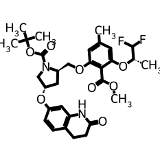 COC(=O)c1c(OC[C@H]2C[C@H](Oc3ccc4c(c3)NC(=O)CC4)CN2C(=O)OC(C)(C)C)cc(C)cc1O[C@@H](C)C(F)F